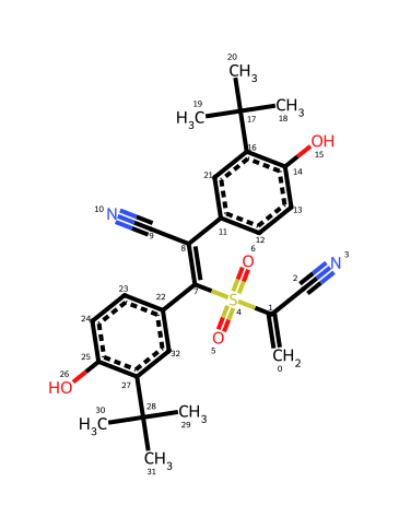 C=C(C#N)S(=O)(=O)C(=C(C#N)c1ccc(O)c(C(C)(C)C)c1)c1ccc(O)c(C(C)(C)C)c1